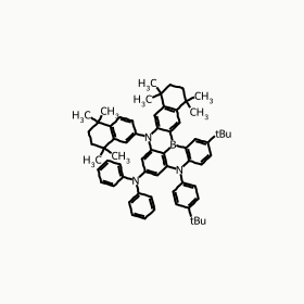 CC(C)(C)c1ccc(N2c3ccc(C(C)(C)C)cc3B3c4cc5c(cc4N(c4ccc6c(c4)C(C)(C)CCC6(C)C)c4cc(N(c6ccccc6)c6ccccc6)cc2c43)C(C)(C)CCC5(C)C)cc1